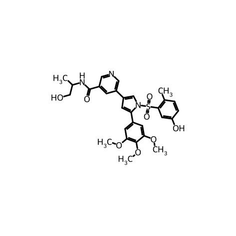 COc1cc(-c2cc(-c3cncc(C(=O)NC(C)CO)c3)cn2S(=O)(=O)c2cc(O)ccc2C)cc(OC)c1OC